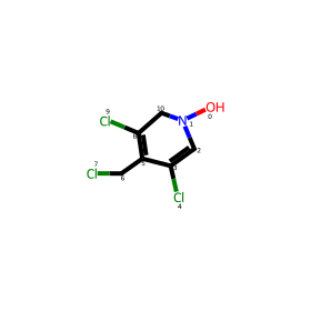 ON1C=C(Cl)C(CCl)=C(Cl)C1